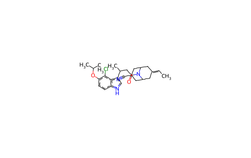 CC=C1CC2CC(C#N)CC(C1)N2C(=O)CC(C)c1c[nH]c2ccc(OC(C)C)c(Cl)c12